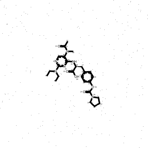 CCN(CC)c1ncc(N(C)C(C)=O)c(N[C@@H](Cc2ccc(OC(=O)N3CCCC3)cc2)C(=O)O)n1